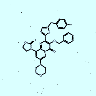 O=C1OCCN1c1cc(N2CCOCC2)cn2c(=O)c(OCc3ccccc3)c(-c3ncc(Cc4ccc(F)cc4)s3)nc12